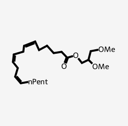 CCCCC/C=C\C/C=C\C/C=C\CCCCC(=O)OCC(COC)OC